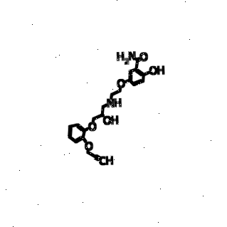 C#CCOc1ccccc1OCC(O)CNCCOc1ccc(O)c(C(N)=O)c1